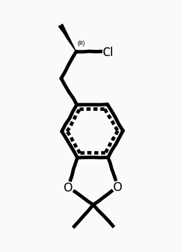 C[C@@H](Cl)Cc1ccc2c(c1)OC(C)(C)O2